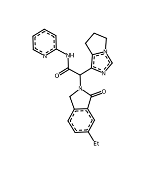 CCc1ccc2c(c1)C(=O)N(C(C(=O)Nc1ccccn1)c1ncn3c1CCC3)C2